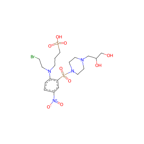 O=[N+]([O-])c1ccc(N(CCBr)CCCS(=O)(=O)O)c(S(=O)(=O)N2CCN(CC(O)CO)CC2)c1